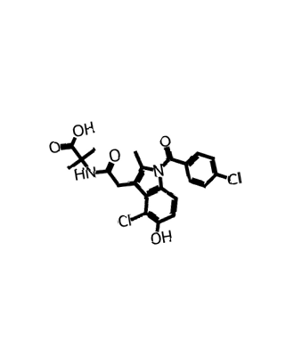 Cc1c(CC(=O)NC(C)(C)C(=O)O)c2c(Cl)c(O)ccc2n1C(=O)c1ccc(Cl)cc1